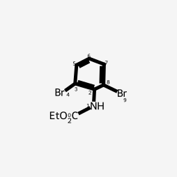 CCOC(=O)Nc1c(Br)cccc1Br